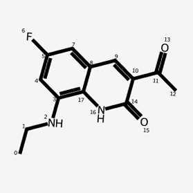 CCNc1cc(F)cc2cc(C(C)=O)c(=O)[nH]c12